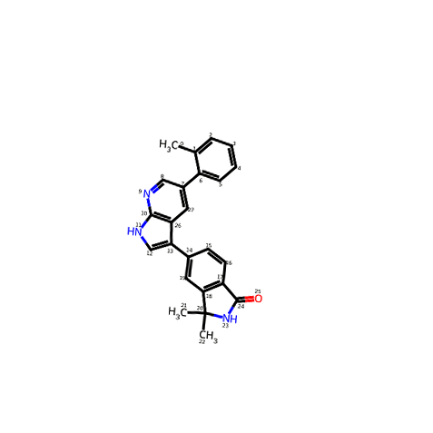 Cc1ccccc1-c1cnc2[nH]cc(-c3ccc4c(c3)C(C)(C)NC4=O)c2c1